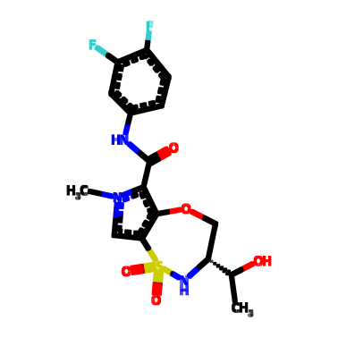 CC(O)[C@H]1COc2c(cn(C)c2C(=O)Nc2ccc(F)c(F)c2)S(=O)(=O)N1